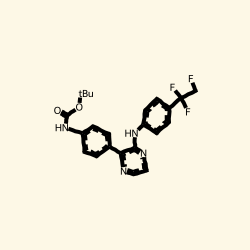 CC(C)(C)OC(=O)Nc1ccc(-c2nccnc2Nc2ccc(C(F)(F)CF)cc2)cc1